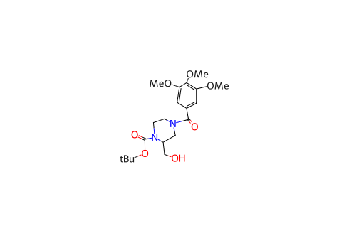 COc1cc(C(=O)N2CCN(C(=O)OC(C)(C)C)C(CO)C2)cc(OC)c1OC